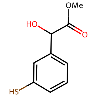 COC(=O)C(O)c1cccc(S)c1